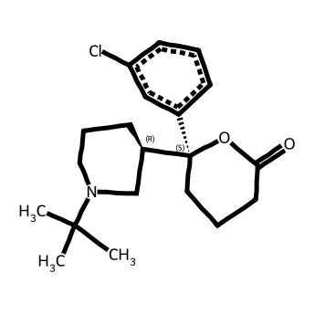 CC(C)(C)N1CCC[C@@H]([C@]2(c3cccc(Cl)c3)CCCC(=O)O2)C1